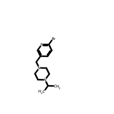 CC(C)N1CCN(Cc2ccc(Br)nc2)CC1